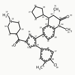 Cc1cc(-n2nc(C(=O)C3CCN(C)CC3)nc2-c2ccc3c(c2)C(C2CCCC2)[C@H](C)C(=O)N3C)ccc1Cl